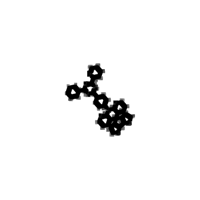 c1ccc(-c2nc(-c3ccc(N4c5ncccc5C5(c6cccnc64)c4ccsc4-c4sccc45)cc3)nc(-c3ccccn3)n2)cc1